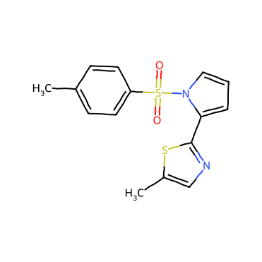 Cc1ccc(S(=O)(=O)n2cccc2-c2ncc(C)s2)cc1